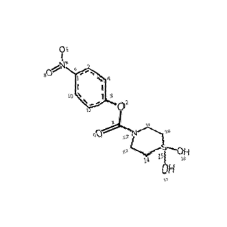 O=C(Oc1ccc([N+](=O)[O-])cc1)N1CCS(O)(O)CC1